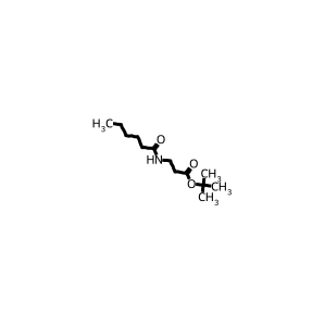 CCCCCC(=O)NCCC(=O)OC(C)(C)C